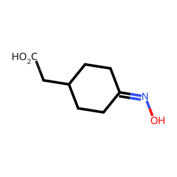 O=C(O)CC1CCC(=NO)CC1